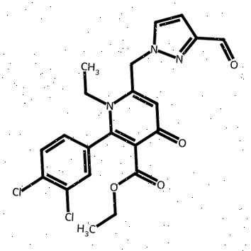 CCOC(=O)c1c(-c2ccc(Cl)c(Cl)c2)n(CC)c(Cn2ccc(C=O)n2)cc1=O